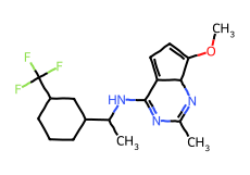 COC1=CC=C2C(NC(C)C3CCCC(C(F)(F)F)C3)=NC(C)=NC12